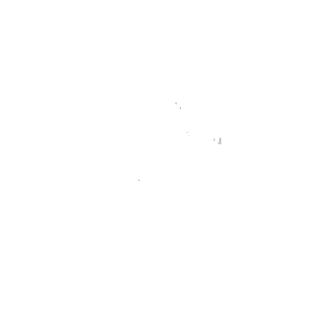 CCC(C)(S(=O)(=O)CC)S(=O)(=O)CC.NC(N)=O